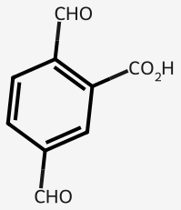 O=Cc1ccc(C=O)c(C(=O)O)c1